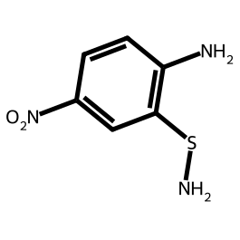 NSc1cc([N+](=O)[O-])ccc1N